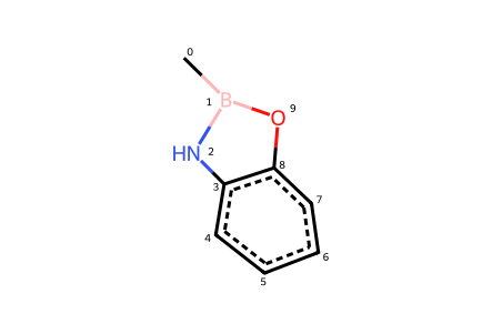 CB1Nc2ccccc2O1